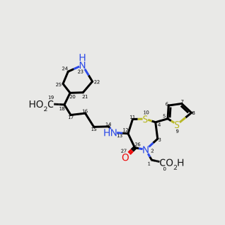 O=C(O)CN1CC(c2cccs2)SCC(NCCCCC(C(=O)O)C2CCNCC2)C1=O